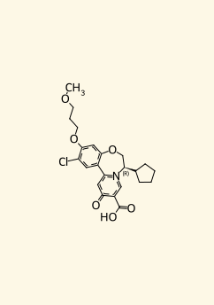 COCCCOc1cc2c(cc1Cl)-c1cc(=O)c(C(=O)O)cn1[C@H](C1CCCC1)CO2